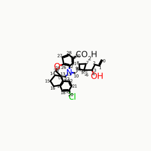 C=CCC(O)[C@]1(C)CC[C@H]1CN1C[C@@]2(CCCc3cc(Cl)ccc32)COc2ccc(C(=O)O)cc21